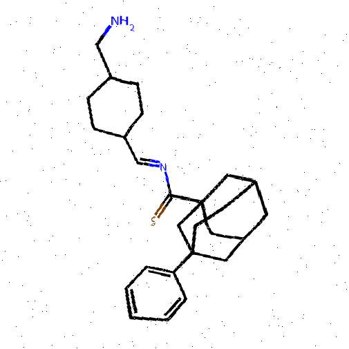 NCC1CCC(/C=N/C(=S)C23CC4CC(C2)CC(c2ccccc2)(C4)C3)CC1